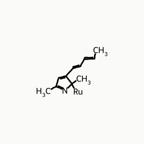 CC=CC=CC1=CC(C)=N[C]1(C)[Ru]